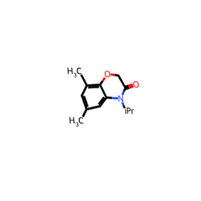 Cc1cc(C)c2c(c1)N(C(C)C)C(=O)CO2